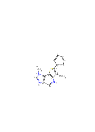 Cc1c(-c2ccccc2)sc2c1ncc1ncn(C)c12